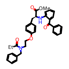 CCC(=O)N(CCOc1ccc(C[C@H](Nc2ccccc2C(=O)c2ccccc2)C(=O)OC)cc1)Cc1ccccc1